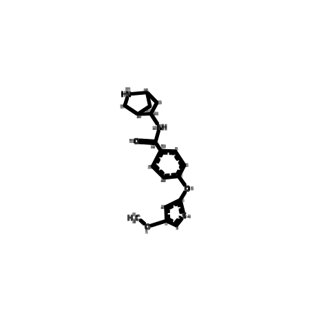 COc1csc(Oc2ccc(C(=O)NC3CC4CC3CN4)cc2)c1